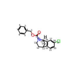 O=C(OCc1ccccc1)N1CCC2C[C@@H]1c1cc(Cl)ccc12